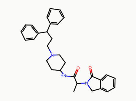 CC(C(=O)NC1CCN(CCC(c2ccccc2)c2ccccc2)CC1)N1Cc2ccccc2C1=O